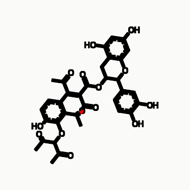 CC(=O)C(C(=O)OC1Cc2c(O)cc(O)cc2OC1c1ccc(O)c(O)c1)=C(C(C)=O)c1ccc(O)c(OC(C(C)=O)C(C)=O)c1C(C)=O